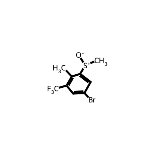 Cc1c([S+](C)[O-])cc(Br)cc1C(F)(F)F